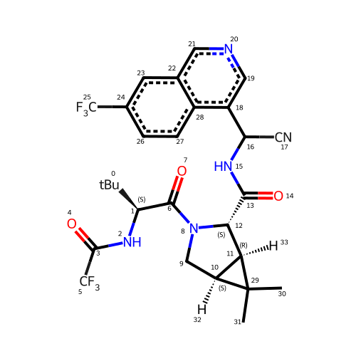 CC(C)(C)[C@H](NC(=O)C(F)(F)F)C(=O)N1C[C@H]2[C@@H]([C@H]1C(=O)NC(C#N)c1cncc3cc(C(F)(F)F)ccc13)C2(C)C